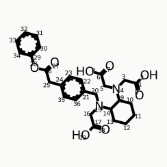 O=C(O)CN(CC(=O)O)C1CCCCC1N(CC(=O)O)Cc1ccc(CC(=O)Oc2ccccc2)cc1